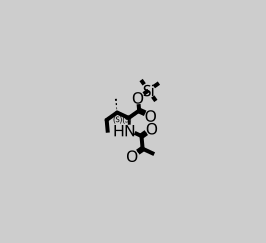 CC[C@H](C)[C@H](NC(=O)C(C)=O)C(=O)O[Si](C)(C)C